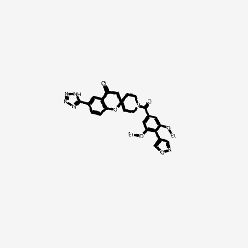 CCOc1cc(C(=O)N2CCC3(CC2)CC(=O)c2cc(-c4nnn[nH]4)ccc2O3)cc(OCC)c1-c1cnoc1